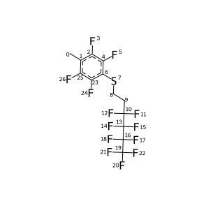 Cc1c(F)c(F)c(SCCC(F)(F)C(F)(F)C(F)(F)C(F)(F)F)c(F)c1F